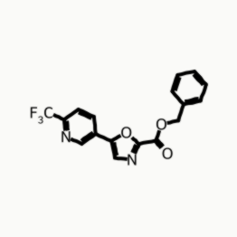 O=C(OCc1ccccc1)c1ncc(-c2ccc(C(F)(F)F)nc2)o1